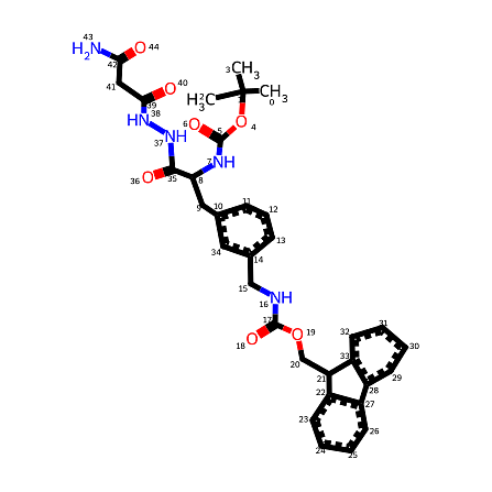 CC(C)(C)OC(=O)NC(Cc1cccc(CNC(=O)OCC2c3ccccc3-c3ccccc32)c1)C(=O)NNC(=O)CC(N)=O